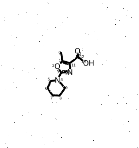 Cc1oc(N2CCCCC2)nc1C(=O)O